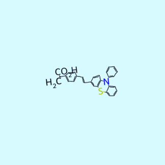 C=C(C(=O)O)c1ccc(C=Cc2ccc3c(c2)Sc2ccccc2N3c2ccccc2)cc1